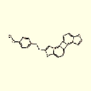 CCOc1ccc(CCc2cc3c4c(ccc3s2)-c2c-4ccc3sccc23)cc1